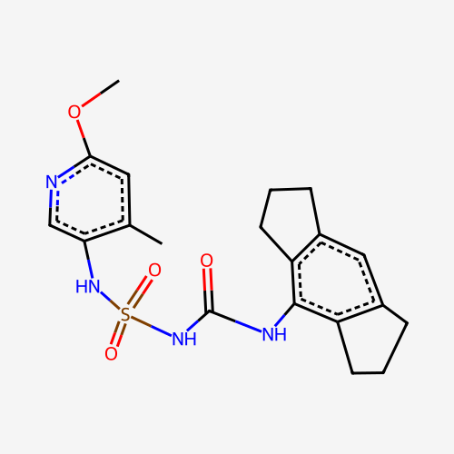 COc1cc(C)c(NS(=O)(=O)NC(=O)Nc2c3c(cc4c2CCC4)CCC3)cn1